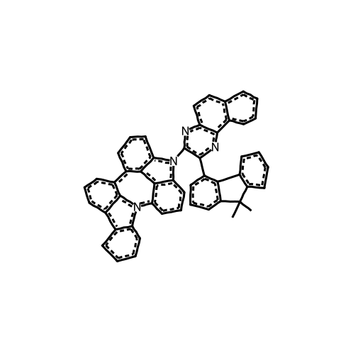 CC1(C)c2ccccc2-c2c(-c3nc4c(ccc5ccccc54)nc3-n3c4cccc5c6cccc7c8ccccc8n(c8cccc3c8c54)c67)cccc21